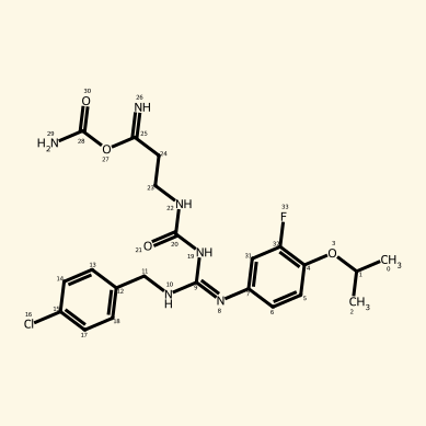 CC(C)Oc1ccc(/N=C(/NCc2ccc(Cl)cc2)NC(=O)NCCC(=N)OC(N)=O)cc1F